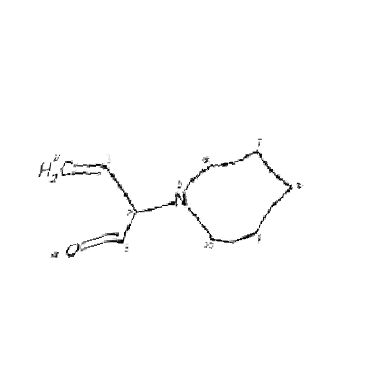 C=CC(C=O)N1CCCCC1